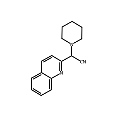 N#CC(c1ccc2ccccc2n1)N1CCCCC1